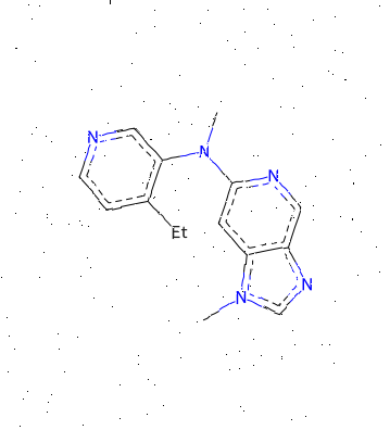 CCc1ccncc1N(C)c1cc2c(cn1)ncn2C